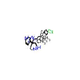 CCC(C)(C/C(C)=C(\N)C1(c2ccccc2)CCNCC1)C(C)Cc1ccc(Cl)cc1